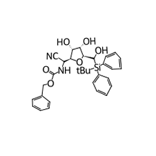 CC(C)(C)[Si](c1ccccc1)(c1ccccc1)C(O)[C@H]1O[C@@H](C(C#N)NC(=O)OCc2ccccc2)[C@H](O)[C@@H]1O